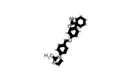 Cc1nccn1-c1ccc(COc2ccc(C3(C(N)=O)CCCCC3)cc2)cc1